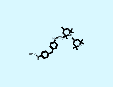 CC1CC(C)(C)NC(C)(C)C1.CC1CC(C)(C)NC(C)(C)C1.O=C(O)Nc1ccc(Cc2ccc(NC(=O)O)cc2)cc1